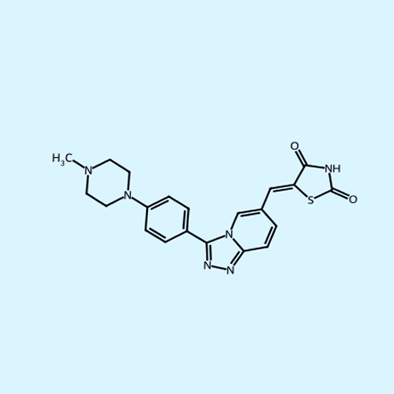 CN1CCN(c2ccc(-c3nnc4ccc(/C=C5\SC(=O)NC5=O)cn34)cc2)CC1